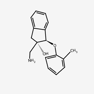 Cc1ccccc1O[C@@H]1c2ccccc2C[C@]1(O)CN